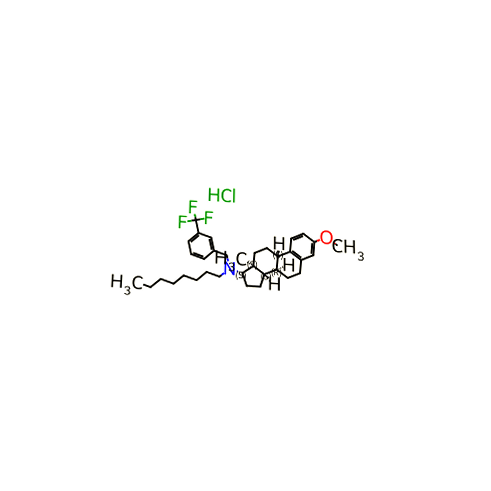 CCCCCCCCN(Cc1cccc(C(F)(F)F)c1)[C@H]1CC[C@H]2[C@@H]3CCc4cc(OC)ccc4[C@H]3CC[C@]12C.Cl